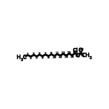 CCCCCCCCCCCCCCCCCC(Cl)OC(C)=O